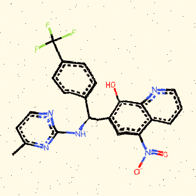 Cc1ccnc(N[C@@H](c2ccc(C(F)(F)F)cc2)c2cc([N+](=O)[O-])c3cccnc3c2O)n1